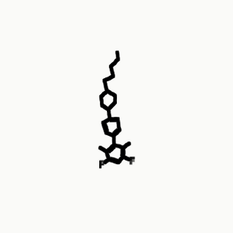 CCCCCC1CCC(c2ccc(-c3c(C)c(F)cc(F)c3C)cc2)CC1